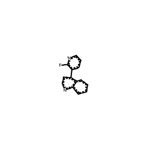 Fc1ncccc1-c1ccnc2ccccc12